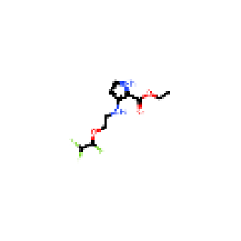 CCOC(=O)c1[nH]ccc1NCCOC(F)C(F)F